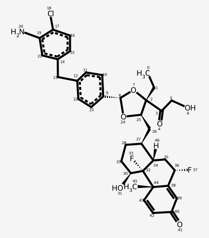 CC[C@]1(C(=O)CO)O[C@@H](c2ccc(Cc3ccc(Cl)c(N)c3)cc2)O[C@@H]1C[C@@H]1CC[C@H](O)[C@@]2(F)[C@H]1C[C@H](F)C1=CC(=O)C=C[C@@]12C